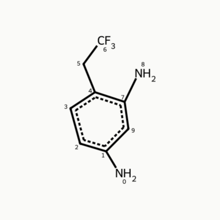 Nc1ccc(CC(F)(F)F)c(N)c1